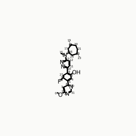 COc1cc(-c2cc(O)c(-c3ccc(N(C)[C@H]4C[C@H](C)CC[C@H](C)C4)nn3)cc2F)ncn1